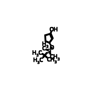 CC(C)(C)[Si](C)(C)O[C@@H]1C=C(O)CC1